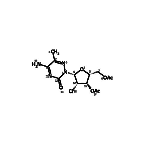 CC(=O)OC[C@H]1O[C@@H](n2nc(C)c(N)nc2=O)[C@@H](Cl)[C@@H]1OC(C)=O